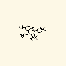 COc1ccc(C2Sc3ccc(Cl)cc3N(CCN(C)C)C(=O)C2OC(C)=O)cc1